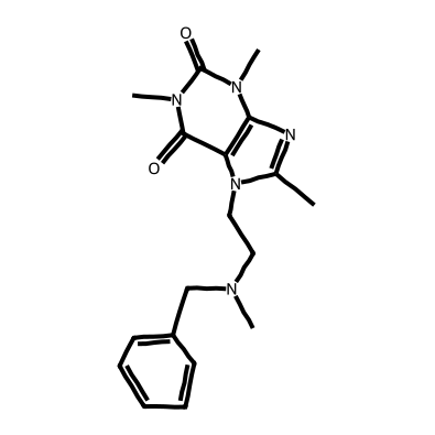 Cc1nc2c(c(=O)n(C)c(=O)n2C)n1CCN(C)Cc1ccccc1